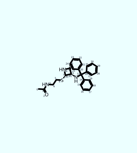 CC(=O)NCCS[C@H]1NC(=O)[C@H]1NC(c1ccccc1)(c1ccccc1)c1ccccc1